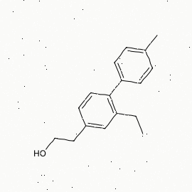 CCc1cc(CCO)ccc1-c1ccc(C)cc1